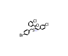 O=C(/C(=C\c1ccc(Cl)cc1)SCc1ccc(Br)cc1)c1ccccc1Cl